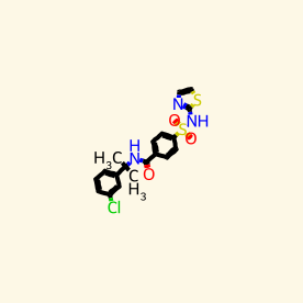 CC(C)(NC(=O)c1ccc(S(=O)(=O)Nc2nccs2)cc1)c1cccc(Cl)c1